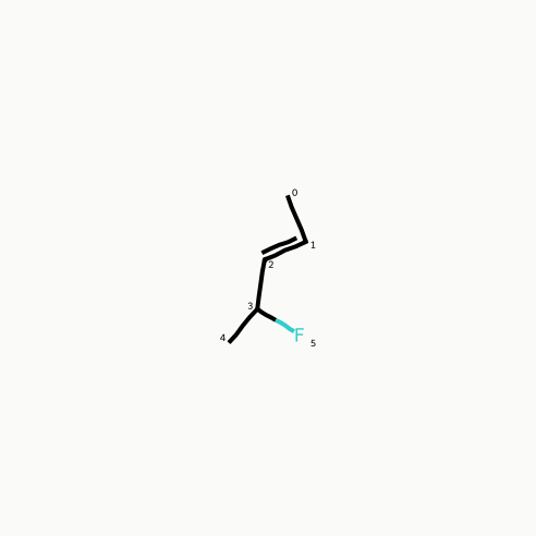 CC=CC(C)F